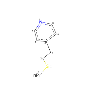 CCCSCCc1ccncc1